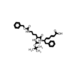 CC(C)(C)OC(=O)NC(CCCNC(=O)OCc1ccccc1)C(=O)NC(C=CC=CC(=O)O)Cc1ccccc1